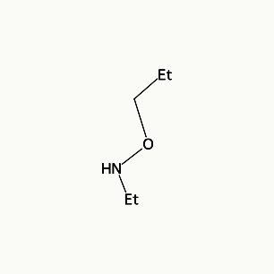 [CH2]CNOCCC